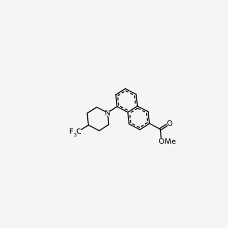 COC(=O)c1ccc2c(N3CCC(C(F)(F)F)CC3)cccc2c1